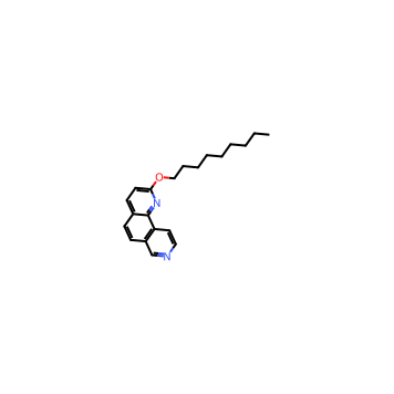 CCCCCCCCCOc1ccc2ccc3cnccc3c2n1